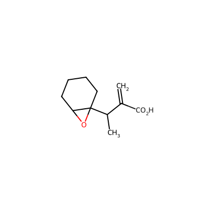 C=C(C(=O)O)C(C)C12CCCCC1O2